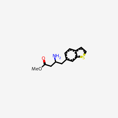 COC(=O)CC(N)Cc1ccc2ccsc2c1